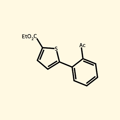 CCOC(=O)c1ccc(-c2ccccc2C(C)=O)s1